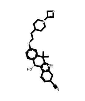 CC1(C)c2cc(OCCC3CCN(C4COC4)CC3)ccc2[C@@H](O)c2c1[nH]c1c2C=CC(C#N)C1